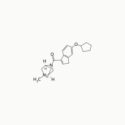 CN1C[C@@H]2C[C@H]1CN2C(=O)C1=CCc2cc(OC3CCCC3)ccc21